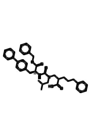 CC(C)CN(CC(CCCc1ccccc1)C(=O)O)C(=O)N[C@@H](Cc1ccc(-c2ccccc2)cc1)C(=O)OCc1ccccc1